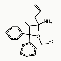 C=CCC(C)(N)C(C)C(OCC)(c1ccccc1)c1ccccc1.Cl